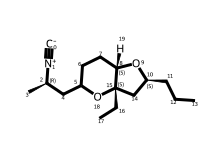 [C-]#[N+][C@H](C)CC1CC[C@@H]2O[C@@H](CCC)C[C@]2(CC)O1